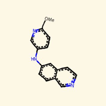 COc1ccc(Nc2ccc3cnccc3c2)cn1